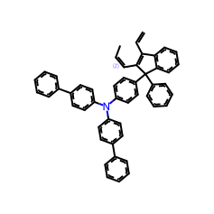 C=CC1=C(/C=C\C)C(c2ccccc2)(c2ccc(N(c3ccc(-c4ccccc4)cc3)c3ccc(-c4ccccc4)cc3)cc2)c2ccccc21